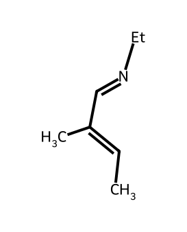 CC=C(C)C=NCC